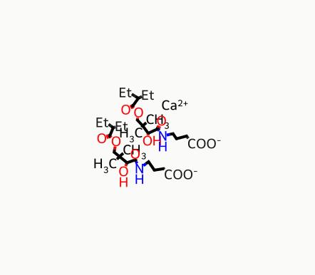 CCC(CC)C(=O)OCC(C)(C)C(O)C(=O)NCCCC(=O)[O-].CCC(CC)C(=O)OCC(C)(C)C(O)C(=O)NCCCC(=O)[O-].[Ca+2]